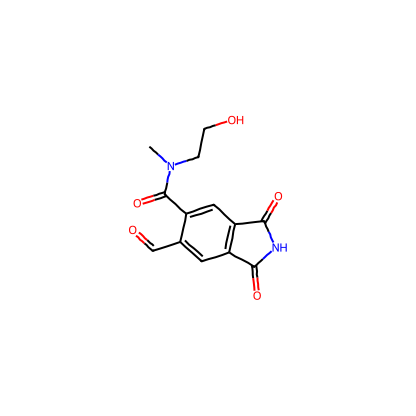 CN(CCO)C(=O)c1cc2c(cc1C=O)C(=O)NC2=O